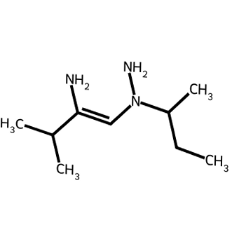 CCC(C)N(N)/C=C(\N)C(C)C